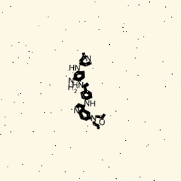 C=C(Nc1ccc(Nc2ccnc(C)c2)cc1N)c1ccc(Nc2ccnc3ccc(N4CC(C)OC(C)C4)cc23)cc1